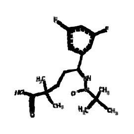 CC(C)(CC[C@H](N[S+]([O-])C(C)(C)C)c1cc(F)cc(F)c1)C(=O)O